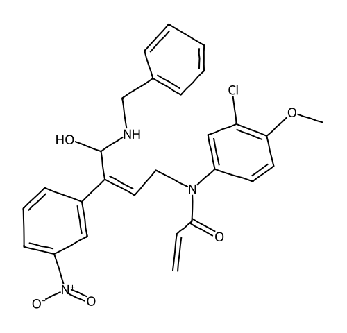 C=CC(=O)N(CC=C(c1cccc([N+](=O)[O-])c1)C(O)NCc1ccccc1)c1ccc(OC)c(Cl)c1